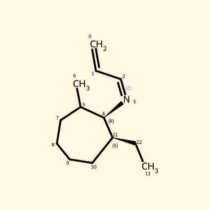 C=C/C=N\[C@@H]1C(C)CCCC[C@@H]1CC